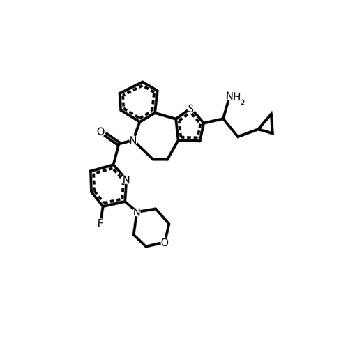 NC(CC1CC1)c1cc2c(s1)-c1ccccc1N(C(=O)c1ccc(F)c(N3CCOCC3)n1)CC2